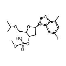 COP(=O)(O)O[C@H]1C[C@H](n2cnc3c(C)cc(F)cc32)O[C@@H]1COC(C)C